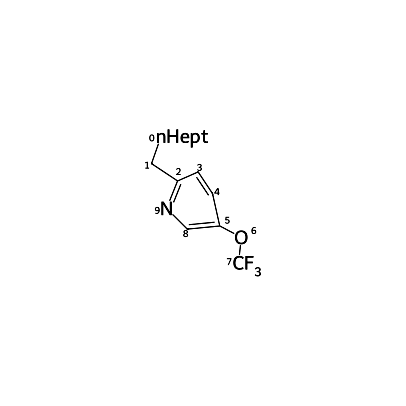 CCCCCCCCc1ccc(OC(F)(F)F)cn1